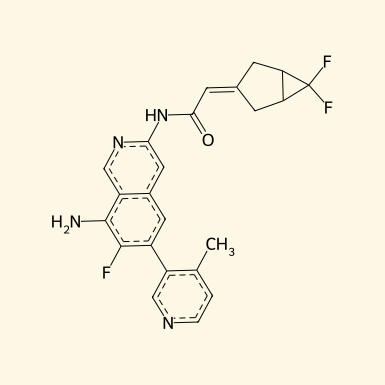 Cc1ccncc1-c1cc2cc(NC(=O)C=C3CC4C(C3)C4(F)F)ncc2c(N)c1F